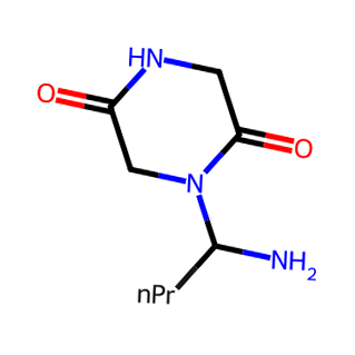 CCCC(N)N1CC(=O)NCC1=O